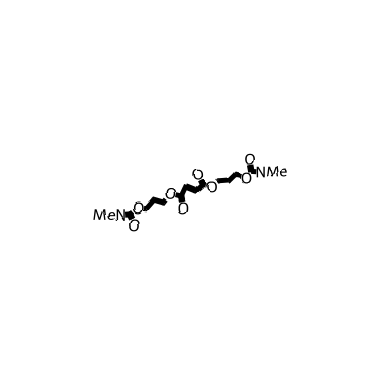 CNC(=O)OCCCOC(=O)/C=C/C(=O)OCCCOC(=O)NC